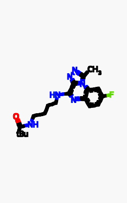 Cc1nnc2c(NCCCCNC(=O)C(C)(C)C)nc3ccc(F)cc3n12